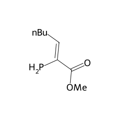 CCCCC=C(P)C(=O)OC